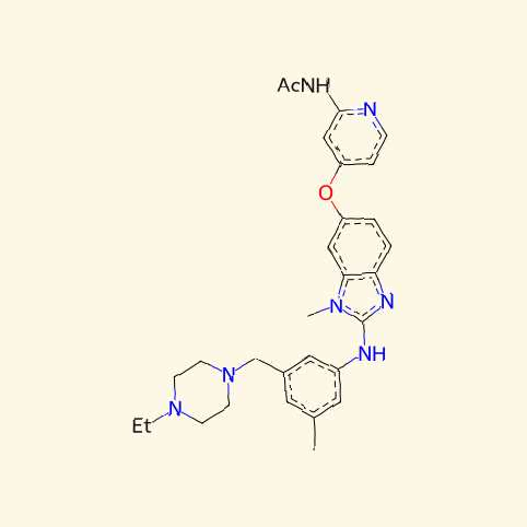 CCN1CCN(Cc2cc(C)cc(Nc3nc4ccc(Oc5ccnc(NC(C)=O)c5)cc4n3C)c2)CC1